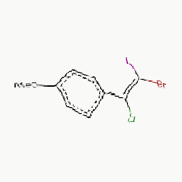 COc1ccc(/C(Cl)=C(/Br)I)cc1